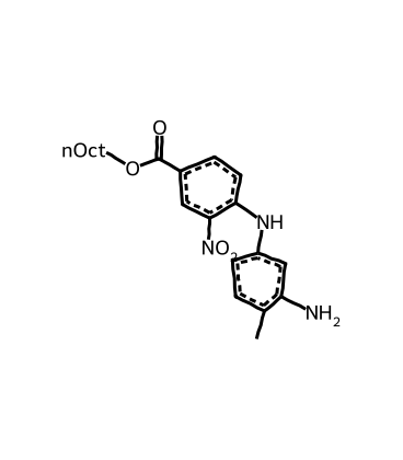 CCCCCCCCOC(=O)c1ccc(Nc2ccc(C)c(N)c2)c([N+](=O)[O-])c1